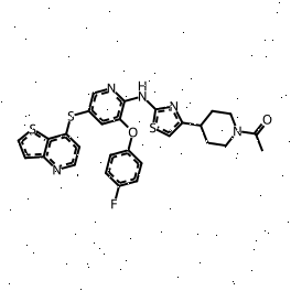 CC(=O)N1CCC(c2csc(Nc3ncc(Sc4ccnc5ccsc45)cc3Oc3ccc(F)cc3)n2)CC1